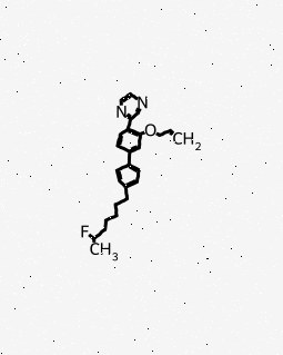 C=CCOc1cc(-c2ccc(CCCCCC(C)F)cc2)ccc1-c1cnccn1